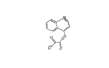 Clc1ccnc2ccccc12.O=C(Cl)C(=O)Cl